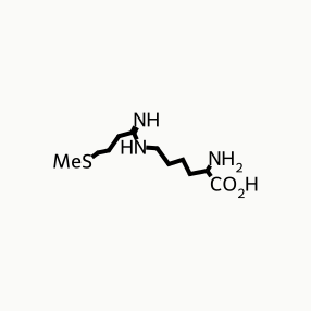 CSCCCC(=N)NCCCCC(N)C(=O)O